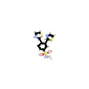 NS(=O)(=O)c1ccc(-c2nccs2)c(-c2nccs2)c1